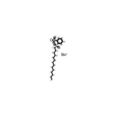 CCCCCCCCCCCCCCS(=O)(=O)c1ccccc1S(=O)(=O)[O-].[Na+]